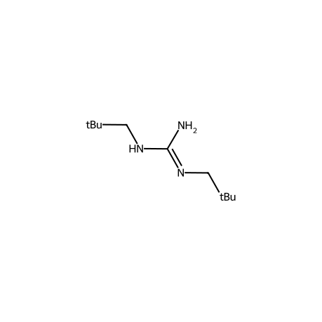 CC(C)(C)C/N=C(\N)NCC(C)(C)C